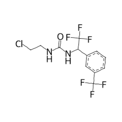 O=C(NCCCl)NC(c1cccc(C(F)(F)F)c1)C(F)(F)F